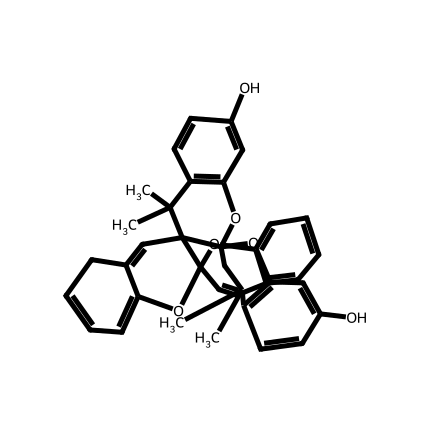 CC1(C)CC2(Oc3cc(O)ccc31)Oc1cc(O)ccc1C(C)(C)C21C=C2CC=CC=C2OC12C=Cc1ccccc1O2